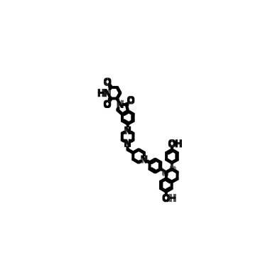 O=C1CCC(N2Cc3cc(N4CCN(CC5CCN(c6ccc([C@@H]7c8ccc(O)cc8CC[C@@H]7C7C=CC(O)=CC7)cc6)CC5)CC4)ccc3C2=O)C(=O)N1